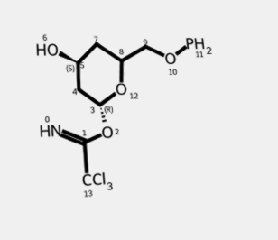 N=C(O[C@@H]1C[C@@H](O)CC(COP)O1)C(Cl)(Cl)Cl